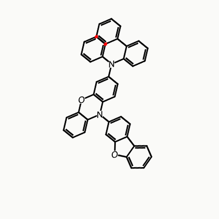 c1ccc(-c2ccccc2N(c2ccccc2)c2ccc3c(c2)Oc2ccccc2N3c2ccc3c(c2)oc2ccccc23)cc1